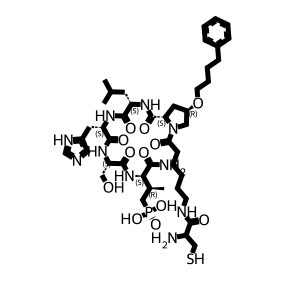 CC(C)C[C@H](NC(=O)[C@@H]1C[C@@H](OCCCCc2ccccc2)CN1C(=O)CCCCCNC(=O)C(N)CS)C(=O)N[C@@H](Cc1cnc[nH]1)C(=O)N[C@@H](CO)C(=O)N[C@H](C(N)=O)[C@@H](C)CP(=O)(O)O